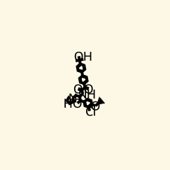 CC(C)(O)c1ccc(-c2ccc(C(=O)C(=O)NC(CN3CCCC3)C(O)c3ccc(OC4CC4)c(Cl)c3)cc2)cc1